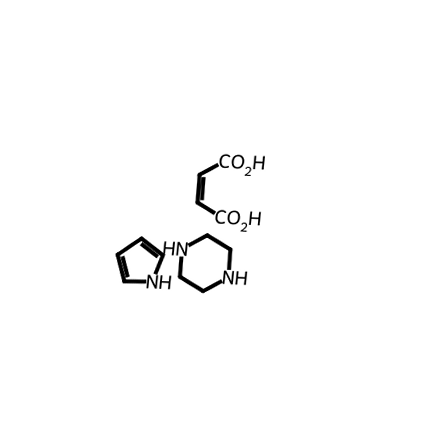 C1CNCCN1.O=C(O)/C=C\C(=O)O.c1cc[nH]c1